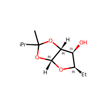 CC[C@H]1O[C@@H]2OC(C)(C(C)C)O[C@@H]2[C@H]1O